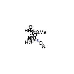 COc1cc2c(/C=C/c3ccc(CN(C)C)cc3)n[nH]c2cc1[C@H]1C[C@]12C(=O)Nc1ccccc12.O=C(O)C(F)(F)F